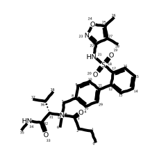 CCCC(=O)[N+](C)(Cc1ccc(-c2ccccc2S(=O)(=O)Nc2noc(C)c2C)cc1)[C@H](C(=O)NC)C(C)C